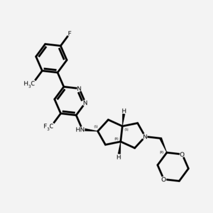 Cc1ccc(F)cc1-c1cc(C(F)(F)F)c(N[C@H]2C[C@@H]3CN(C[C@@H]4COCCO4)C[C@@H]3C2)nn1